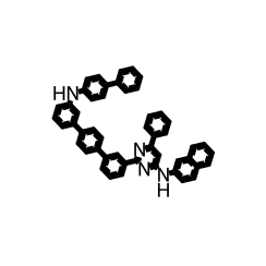 c1ccc(-c2ccc(Nc3cccc(-c4ccc(-c5cccc(-c6nc(Nc7ccc8ccccc8c7)cc(-c7ccccc7)n6)c5)cc4)c3)cc2)cc1